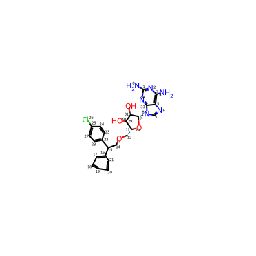 Nc1nc(N)c2ncn([C@@H]3O[C@H](COCC(c4ccccc4)c4ccc(Cl)cc4)[C@@H](O)[C@H]3O)c2n1